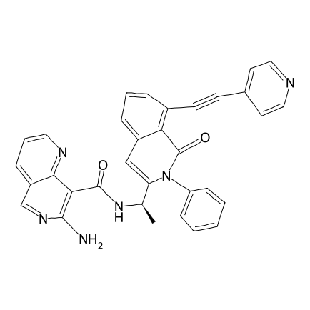 C[C@@H](NC(=O)c1c(N)ncc2cccnc12)c1cc2cccc(C#Cc3ccncc3)c2c(=O)n1-c1ccccc1